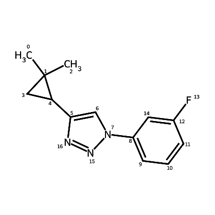 CC1(C)CC1c1cn(-c2cccc(F)c2)nn1